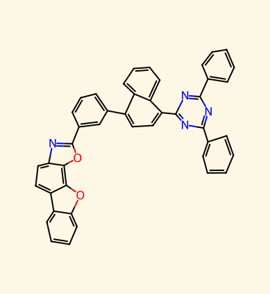 c1ccc(-c2nc(-c3ccccc3)nc(-c3ccc(-c4cccc(-c5nc6ccc7c8ccccc8oc7c6o5)c4)c4ccccc34)n2)cc1